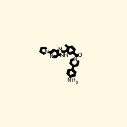 Cc1ccc(C(=O)N2CCC(c3ccc(N)cc3)CC2)cc1-c1nc2cc(N3CCCC3)ncc2[nH]1